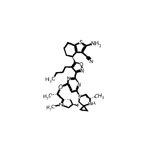 CCCCc1c(-c2nc(O[C@@H](C)[C@@H]3C[C@@H](F)CN3C)cc(N3C[C@H](C)NC4(CC4)C3)n2)noc1[C@H]1CCCc2sc(N)c(C#N)c21